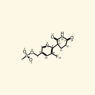 CS(=O)(=O)OCc1cnc(C2CCC(=O)NC2=O)c(F)c1